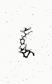 C=Cc1ccc2nc(O[C@H]3CC[C@H](OC[C@H](C)NC(C)=O)CC3)n(C)c2c1